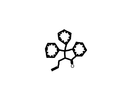 C=CCC1C(=O)c2ccccc2C1(c1ccccc1)c1ccccc1